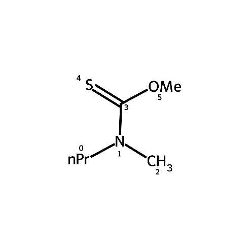 CCCN(C)C(=S)OC